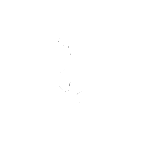 COC(=O)c1cn(CCCNC(=O)OC(C)(C)C)cn1